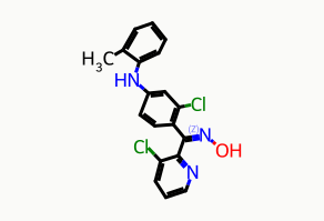 Cc1ccccc1Nc1ccc(/C(=N/O)c2ncccc2Cl)c(Cl)c1